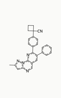 Cc1cc2ncc3cc(-c4ccccc4)c(-c4ccc(C5(C#N)CCC5)cc4)nc3n2n1